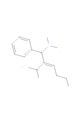 CCC/C=C(\C(C)C)C(c1ccccc1)N(C)C